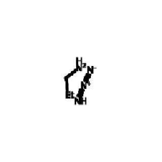 CCCN.[N-]=[N+]=N